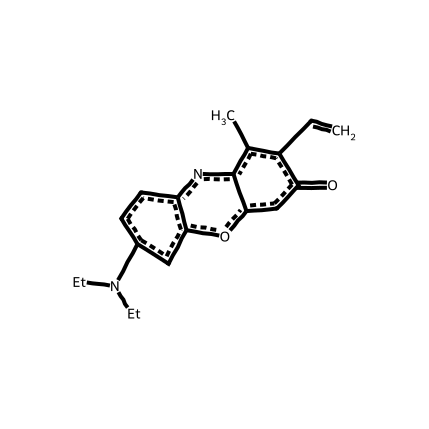 C=Cc1c(C)c2nc3ccc(N(CC)CC)cc3oc-2cc1=O